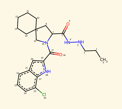 CCCNNC(=O)C1CC2(CCCCC2)CN1C(=O)c1cc2cccc(Cl)c2[nH]1